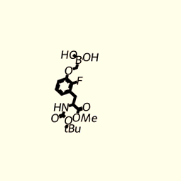 COC(=O)C(Cc1cccc(OCB(O)O)c1F)NC(=O)OC(C)(C)C